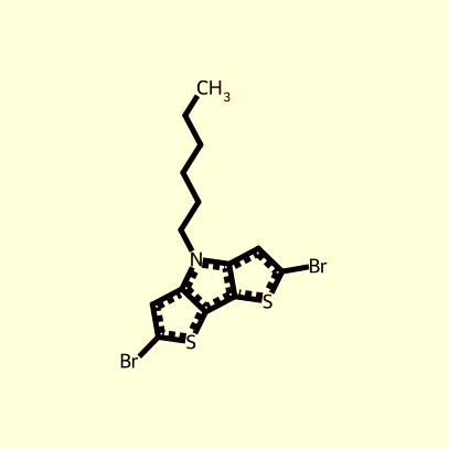 CCCCCCn1c2cc(Br)sc2c2sc(Br)cc21